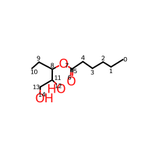 CCCCCC(=O)OC(CC)C(O)CO